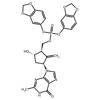 C=C1[C@H](COP(=O)(Oc2ccc3c(c2)OCO3)Oc2ccc3c(c2)OCO3)[C@@H](O)C[C@@H]1n1cnc2c(=O)[nH]c(C)nc21